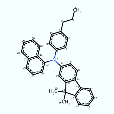 CCCc1ccc(N(c2ccc3c(c2)C(C)(C)c2ccccc2-3)c2cccc3ccccc23)cc1